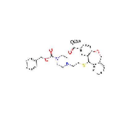 COC(=O)c1ccc2c(c1)C(SCCN1CCN(C(=O)OCc3ccccc3)CC1)c1ccccc1CO2